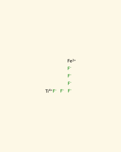 [F-].[F-].[F-].[F-].[F-].[F-].[Fe+2].[Ti+4]